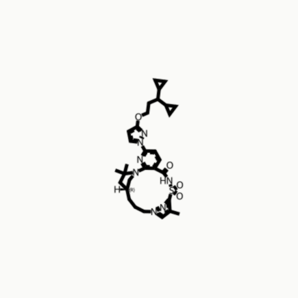 Cc1cn2nc1S(=O)(=O)NC(=O)c1ccc(-n3ccc(OCCC(C4CC4)C4CC4)n3)nc1N1C[C@H](CCC2)CC1(C)C